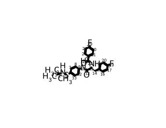 CC(C)(C)NSc1ccc(NC(=O)[C@H](Cc2ccc(F)cc2)NC(=O)c2ccc(F)cc2)cc1